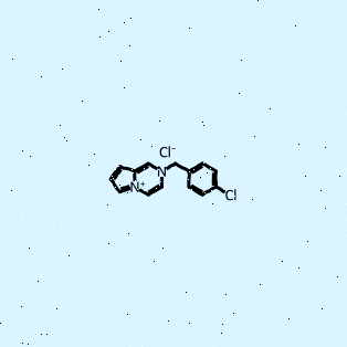 Clc1ccc(Cn2cc[n+]3cccc-3c2)cc1.[Cl-]